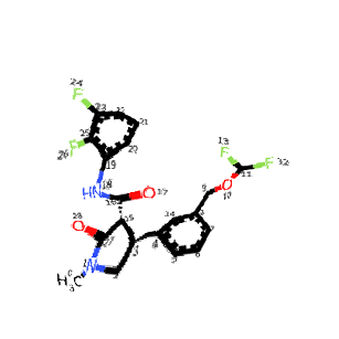 CN1C[C@H](c2cccc(COC(F)F)c2)[C@@H](C(=O)Nc2cccc(F)c2F)C1=O